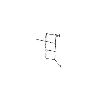 CC12C3NC1C1C(I)C3C12